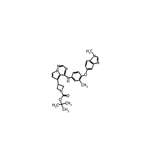 Cc1cc(Nc2ncnn3ccc(C4CN(C(=O)OC(C)(C)C)C4)c23)ccc1Oc1ccc2c(c1)ncn2C